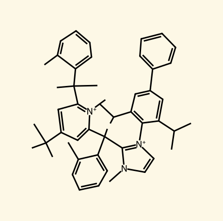 Cc1ccccc1C(C)(C)c1cc(C(C)(C)C)cc(C(C)(c2ccccc2C)c2n(C)cc[n+]2-c2c(C(C)C)cc(-c3ccccc3)cc2C(C)C)[n+]1C